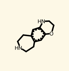 c1c2c(cc3c1NCCO3)CCNCC2